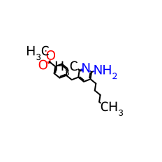 CCCCCc1cc(Cc2ccc(C(=O)OC)cc2)c(C)nc1N